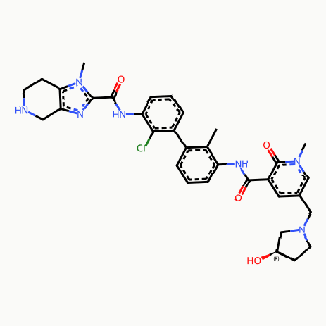 Cc1c(NC(=O)c2cc(CN3CC[C@@H](O)C3)cn(C)c2=O)cccc1-c1cccc(NC(=O)c2nc3c(n2C)CCNC3)c1Cl